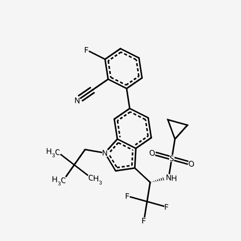 CC(C)(C)Cn1cc([C@H](NS(=O)(=O)C2CC2)C(F)(F)F)c2ccc(-c3cccc(F)c3C#N)cc21